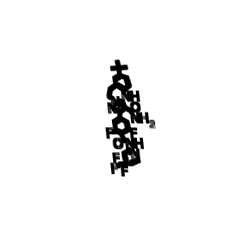 CC(C)(C)c1ccc2c(c1)CCn1nc(-c3cc(F)c(C(=O)Nc4cc(C(F)(F)F)ccn4)c(F)c3)c(C(N)=O)c1N2